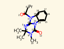 CC(C)C(=O)N1C2=NC(C)(C)N(C)C(=O)N2c2ccccc21